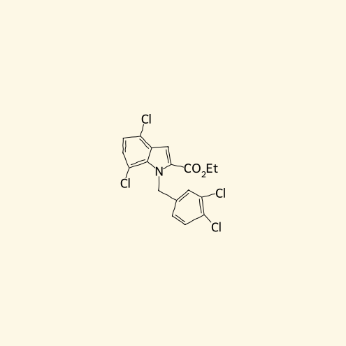 CCOC(=O)c1cc2c(Cl)ccc(Cl)c2n1Cc1ccc(Cl)c(Cl)c1